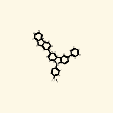 Cc1ccc(-n2c3ccc(-c4ccccc4)cc3c3cc(-c4ccc5c(c4)Cc4ccccc4-5)ccc32)cc1